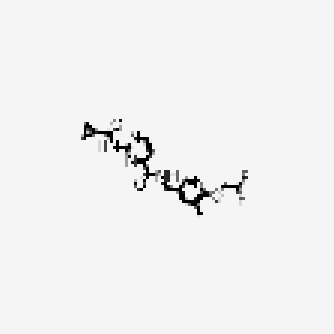 Cc1cc(CNC(=O)c2ccnc(NC(=O)C3CC3)n2)cnc1OCC(F)F